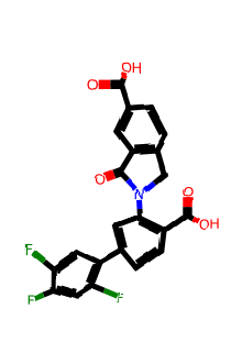 O=C(O)c1ccc2c(c1)C(=O)N(c1cc(-c3cc(F)c(F)cc3F)ccc1C(=O)O)C2